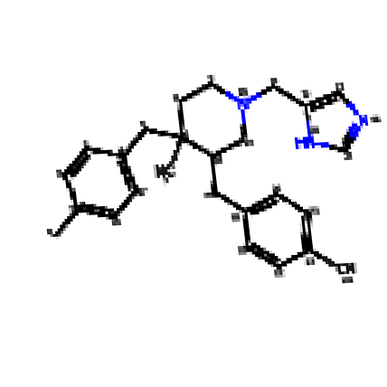 Cc1ccc(CC2(C#N)CCN(Cc3cnc[nH]3)CC2Cc2ccc(C#N)cc2)cc1